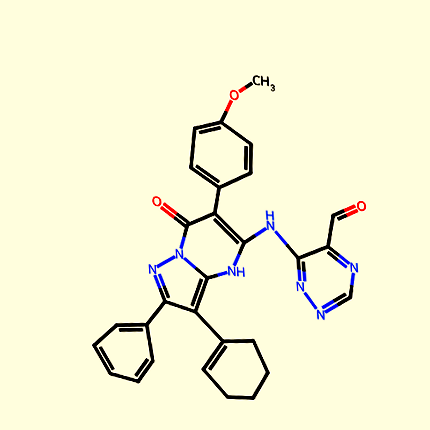 COc1ccc(-c2c(Nc3nncnc3C=O)[nH]c3c(C4=CCCCC4)c(-c4ccccc4)nn3c2=O)cc1